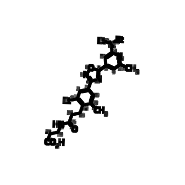 CCc1cc(-c2noc(-c3cc(C)nc(N(CC)CC)c3)n2)cc(C)c1CCC(=O)NCCC(=O)O